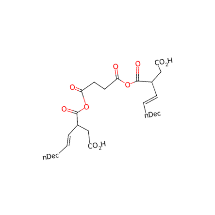 CCCCCCCCCCC=CC(CC(=O)O)C(=O)OC(=O)CCC(=O)OC(=O)C(C=CCCCCCCCCCC)CC(=O)O